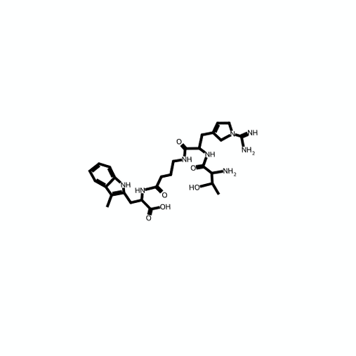 Cc1c(CC(NC(=O)CCCNC(=O)C(CC2=CCN(C(=N)N)C2)NC(=O)C(N)C(C)O)C(=O)O)[nH]c2ccccc12